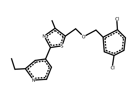 CCc1cc(-c2nc(C)c(COCc3cc(Cl)ccc3Cl)s2)ccn1